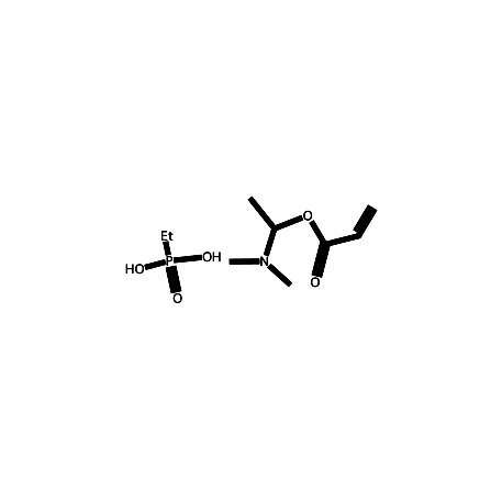 C=CC(=O)OC(C)N(C)C.CCP(=O)(O)O